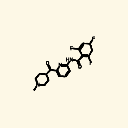 CN1CCC(C(=O)c2cccc(NC(=O)C3=C(F)CC(F)C=C3F)n2)CC1